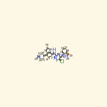 Cc1cc(Nc2ncc(Cl)c(Nc3ccccc3P(C)C)n2)c2c(c1C1CCN(C)CC1)CC(C)C2